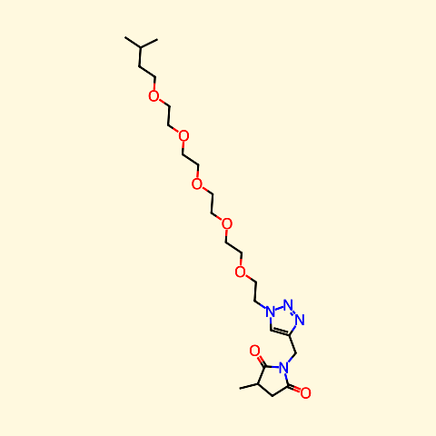 CC(C)CCOCCOCCOCCOCCOCCn1cc(CN2C(=O)CC(C)C2=O)nn1